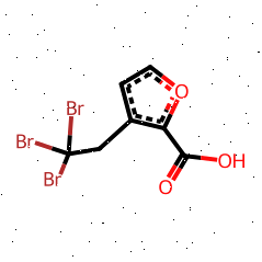 O=C(O)c1occc1CC(Br)(Br)Br